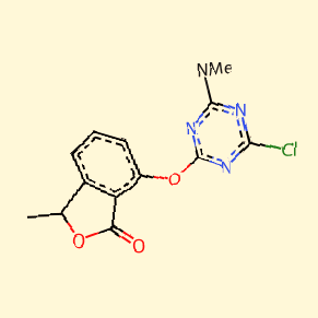 CNc1nc(Cl)nc(Oc2cccc3c2C(=O)OC3C)n1